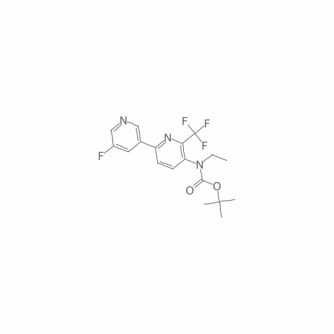 CCN(C(=O)OC(C)(C)C)c1ccc(-c2cncc(F)c2)nc1C(F)(F)F